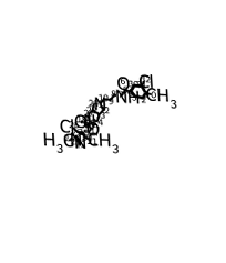 Cc1ccc(C(=O)NCCCN2CC3CN(S(=O)(=O)c4c(C)nn(C)c4Cl)CC3C2)cc1Cl